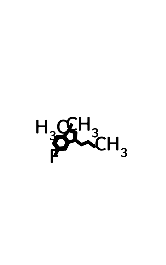 CCCCC1=CC(C)(C)c2ccc(F)cc21